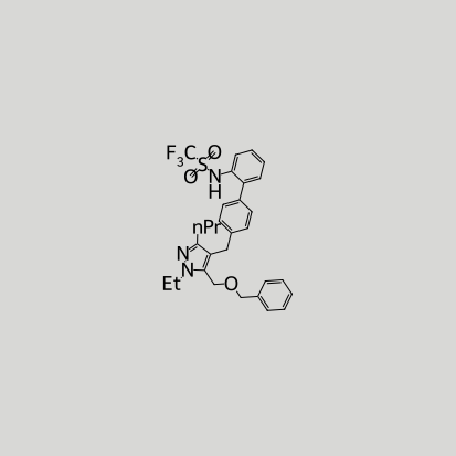 CCCc1nn(CC)c(COCc2ccccc2)c1Cc1ccc(-c2ccccc2NS(=O)(=O)C(F)(F)F)cc1